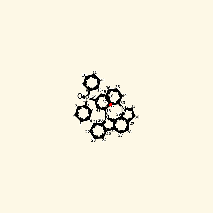 O=P(c1ccccc1)(c1ccccc1)c1cccc(-n2c3ccccc3c3ccc4ccn(-c5ccccc5)c4c32)c1